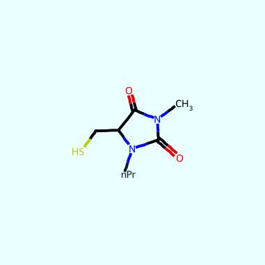 CCCN1C(=O)N(C)C(=O)C1CS